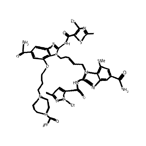 CCc1nc(C)sc1C(=O)Nc1nc2cc(C(N)=O)cc(OCCCN3CCN(C(=O)C(C)C)CC3)c2n1C/C=C/Cn1c(NC(=O)c2cc(C)nn2CC)nc2cc(C(N)=O)cc(SC)c21